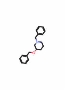 c1ccc(CO[C@@H]2CCCN(Cc3ccccc3)C2)cc1